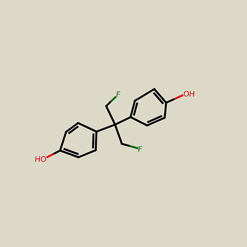 Oc1ccc(C(CF)(CF)c2ccc(O)cc2)cc1